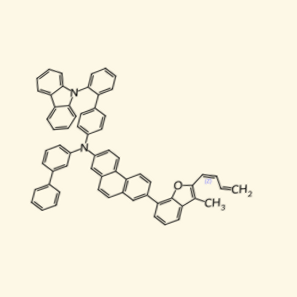 C=C/C=C\c1oc2c(-c3ccc4c(ccc5cc(N(c6ccc(-c7ccccc7-n7c8ccccc8c8ccccc87)cc6)c6cccc(-c7ccccc7)c6)ccc54)c3)cccc2c1C